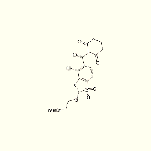 COCCSC1Cc2c(ccc(C(=O)C3C(=O)CCCC3=O)c2Cl)S1(=O)=O